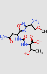 COC[C@H](N)c1noc([C@H](CC(N)=O)NC(=O)NC(C(=O)O)C(C)O)n1